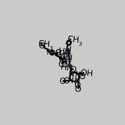 COCCCCN1CCN(C(=O)CCCN2C(=O)CC(SC(C/C=N/NCN/N=C/c3ccc(C)cc3)CNC(=O)CN3CCN(COC=O)CCN(COC=O)CCN(CC(=O)O)CC3)C2=O)CC1